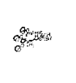 C=C(C=CCCCO[Si](C)(C)C(C)(C)C)[C@H]1[C@@H](C=C[C@H](CCCCC)OC2CCCCO2)[C@H](OC2CCCCO2)C[C@@H]1OC1CCCCO1